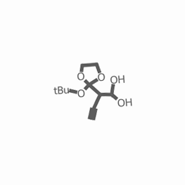 C#CC([C](O)O)C1(OC(C)(C)C)OCCO1